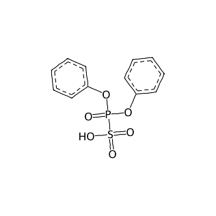 O=P(Oc1ccccc1)(Oc1ccccc1)S(=O)(=O)O